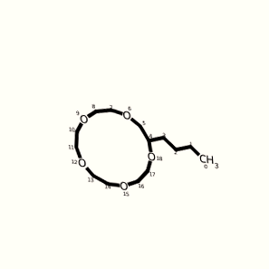 CCCCC1COCCOCCOCCOCCO1